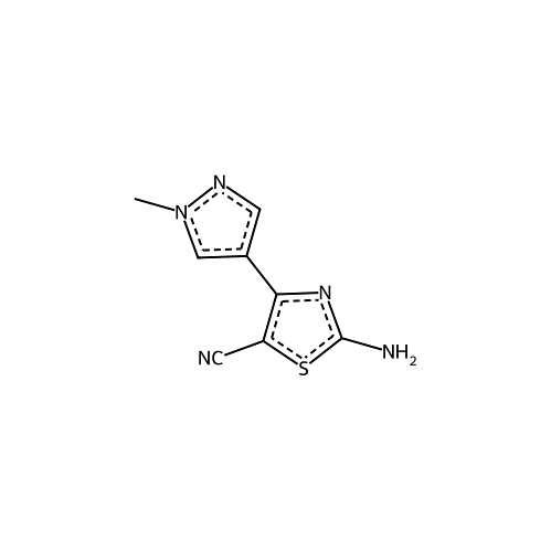 Cn1cc(-c2nc(N)sc2C#N)cn1